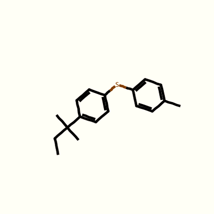 CCC(C)(C)c1ccc(Sc2ccc(C)cc2)cc1